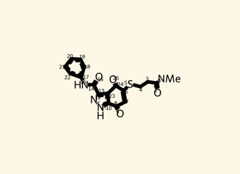 CNC(=O)CCSC1=CC(=O)c2[nH]nc(C(=O)Nc3ccccc3)c2C1=O